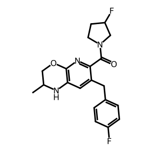 CC1COc2nc(C(=O)N3CCC(F)C3)c(Cc3ccc(F)cc3)cc2N1